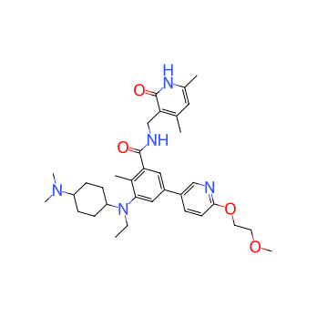 CCN(c1cc(-c2ccc(OCCOC)nc2)cc(C(=O)NCc2c(C)cc(C)[nH]c2=O)c1C)C1CCC(N(C)C)CC1